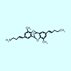 CCC/C=C/c1cc(C)c2c(c1)C1Oc3c(C)cc(/C=C/CCN)cc3C(O2)O1